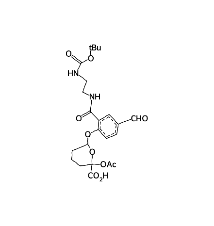 CC(=O)OC1(C(=O)O)CCCC(Oc2ccc(C=O)cc2C(=O)NCCNC(=O)OC(C)(C)C)O1